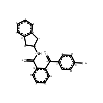 O=C(NC1Cc2ccccc2C1)c1ccccc1C(=O)c1ccc(F)cc1